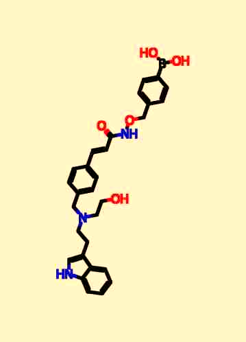 O=C(C=Cc1ccc(CN(CCO)CCc2c[nH]c3ccccc23)cc1)NOCc1ccc(B(O)O)cc1